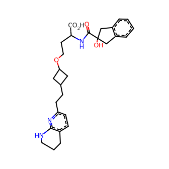 O=C(O)C(CCOC1CC(CCc2ccc3c(n2)NCCC3)C1)NC(=O)C1(O)Cc2ccccc2C1